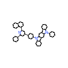 c1ccc(-c2cc(-c3ccc(-n4c5ccccc5c5cc6c(cc54)c4ccccc4n6-c4ccccc4)cc3)cc(-c3cccc4ccccc34)n2)cc1